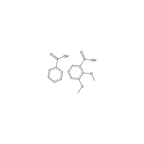 COc1cccc(C(=O)O)c1OC.O=C(O)c1ccccc1